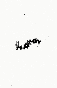 CNC(=O)C1CN(Cc2ccc(-c3ncc(-c4ccc(CC(C)C)cc4)s3)cc2)C1